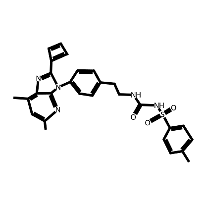 Cc1ccc(S(=O)(=O)NC(=O)NCCc2ccc(-n3c(C4=CC=C4)nc4c(C)cc(C)nc43)cc2)cc1